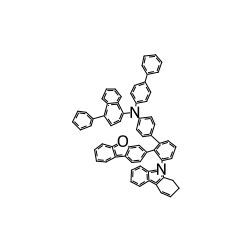 C1=Cc2c(n(-c3cccc(-c4ccc(N(c5ccc(-c6ccccc6)cc5)c5ccc(-c6ccccc6)c6ccccc56)cc4)c3-c3ccc4c(c3)oc3ccccc34)c3ccccc23)CC1